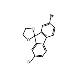 Brc1ccc2c(c1)C1(OCCO1)c1cc(Br)ccc1-2